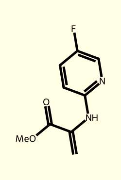 C=C(Nc1ccc(F)cn1)C(=O)OC